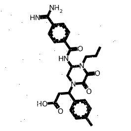 CCCN1C(=O)C(=O)N(C(CC(=O)O)c2ccc(C)cc2)CC1NC(=O)c1ccc(C(=N)N)cc1